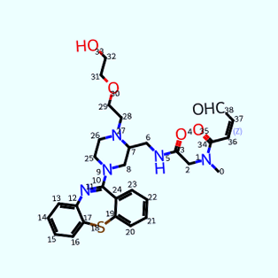 CN(CC(=O)NCC1CN(C2=Nc3ccccc3Sc3ccccc32)CCN1CCOCCO)C(=O)/C=C\C=O